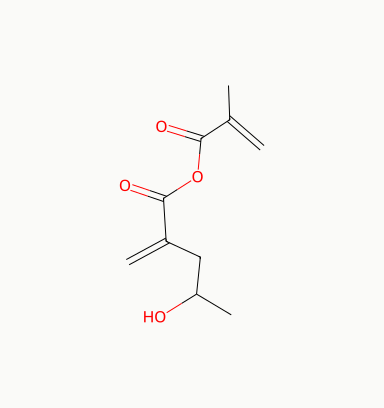 C=C(C)C(=O)OC(=O)C(=C)CC(C)O